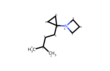 CC(C)CCC1(N2CCC2)CC1